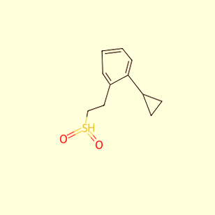 O=[SH](=O)CCc1ccccc1C1CC1